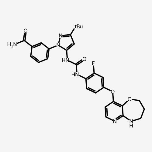 CC(C)(C)c1cc(NC(=O)Nc2ccc(Oc3ccnc4c3OCCCN4)cc2F)n(-c2cccc(C(N)=O)c2)n1